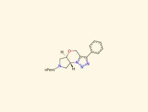 CCCCCN1C[C@@H]2[C@@H](C1)OCc1c(-c3ccccc3)nnn12